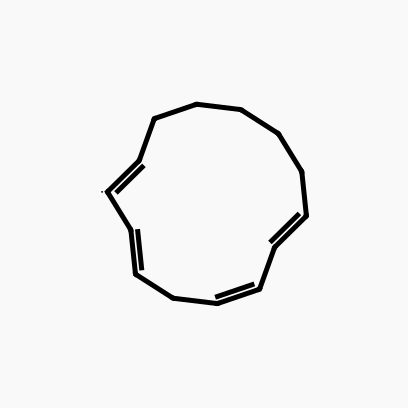 [C]1=C/CCCCC/C=C/C=C\C/C=C/1